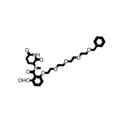 CN(C(=O)c1c(C=O)cccc1OCCOCCOCCOCCOCc1ccccc1)C1CCC(=O)NC1=O